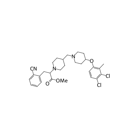 COC(=O)C(Cc1ccccc1C#N)N1CCC(CN2CCC(Oc3ccc(Cl)c(Cl)c3C)CC2)CC1